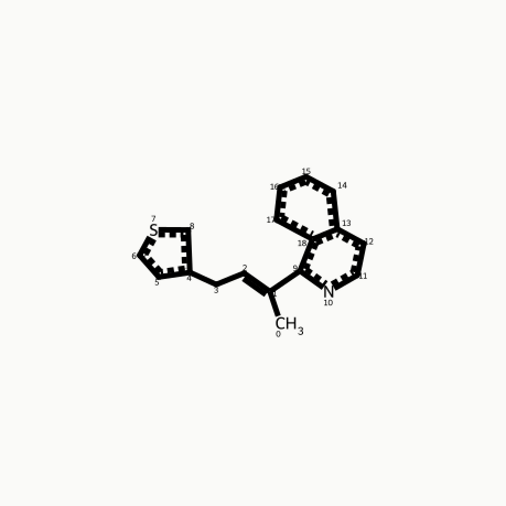 CC(=CCc1ccsc1)c1nccc2ccccc12